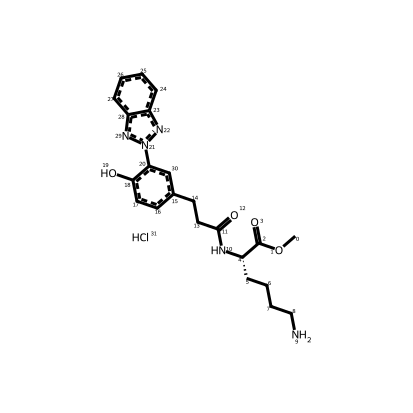 COC(=O)[C@H](CCCCN)NC(=O)CCc1ccc(O)c(-n2nc3ccccc3n2)c1.Cl